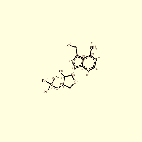 CC(C)Sc1nn([C@@H]2O[CH][C@@H](O[Si](C(C)C)(C(C)C)C(C)C)C2F)c2ncnc(N)c12